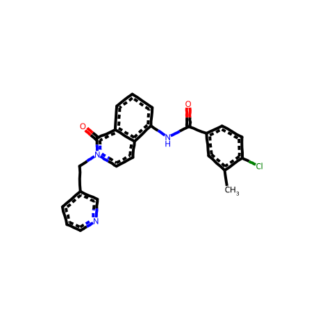 Cc1cc(C(=O)Nc2cccc3c(=O)n(Cc4cccnc4)ccc23)ccc1Cl